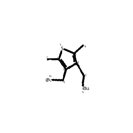 CCC(C)Cc1c(C)sc(C)c1CC(C)CC